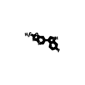 Cc1nc2ncc(-c3c[nH]c4cc(F)ccc34)cc2o1